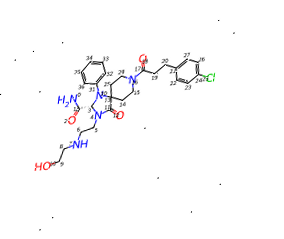 NC(=O)[C@H]1N(CCNCCO)C(=O)C2(CCN(C(=O)[CH]Cc3ccc(Cl)cc3)CC2)N1c1ccccc1